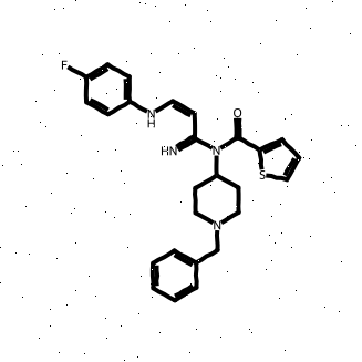 N=C(/C=C\Nc1ccc(F)cc1)N(C(=O)c1cccs1)C1CCN(Cc2ccccc2)CC1